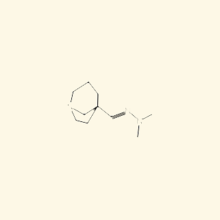 CN(C)N=CC12CCCN(CC1)C2